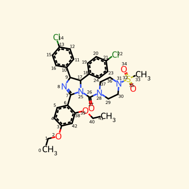 CCOc1ccc(C2=NC(c3ccc(Cl)cc3)C(c3ccc(Cl)cc3)N2C(=O)N2CCN(S(C)(=O)=O)CC2)c(OCC)c1